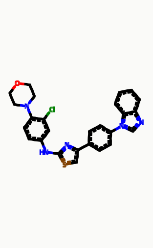 Clc1cc(Nc2nc(-c3ccc(-n4cnc5ccccc54)cc3)cs2)ccc1N1CCOCC1